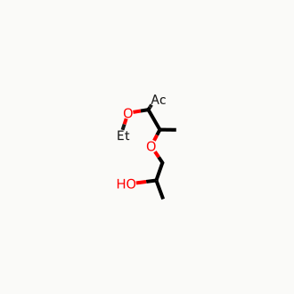 CCOC(C(C)=O)C(C)OCC(C)O